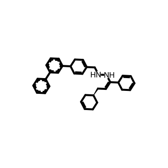 C1=CCC(/C(=C/C[C@@H]2CC=CCC2)NNCC2=CCC(c3cccc(-c4ccccc4)c3)C=C2)C=C1